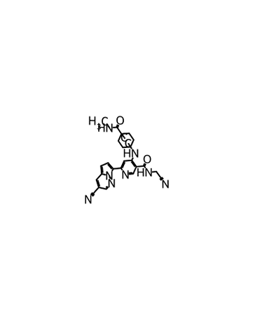 CNC(=O)C12CCC(Nc3cc(-c4ccc5cc(C#N)cnn45)ncc3C(=O)NCC#N)(CC1)CC2